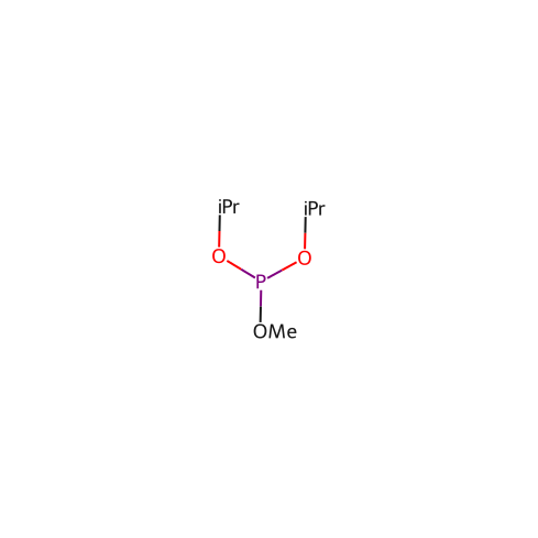 COP(OC(C)C)OC(C)C